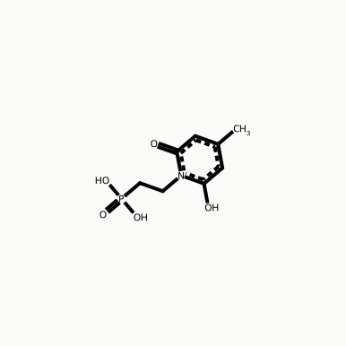 Cc1cc(O)n(CCP(=O)(O)O)c(=O)c1